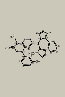 Cn1cncc1C(c1ccc2c(c1)c(-c1cccc(Cl)c1)cc(=O)n2C)n1ccnc1-c1ccccc1